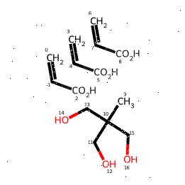 C=CC(=O)O.C=CC(=O)O.C=CC(=O)O.CC(CO)(CO)CO